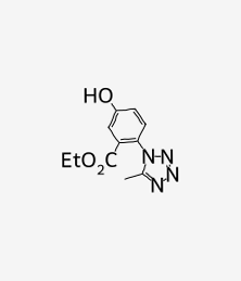 CCOC(=O)c1cc(O)ccc1-n1nnnc1C